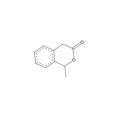 CC1OC(=O)Cc2ccccc21